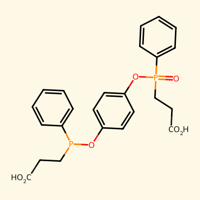 O=C(O)CCP(Oc1ccc(OP(=O)(CCC(=O)O)c2ccccc2)cc1)c1ccccc1